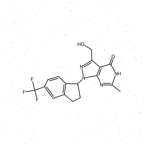 Cc1nc2c(c(CO)nn2C2CCc3cc(C(F)(F)F)ccc32)c(=O)[nH]1